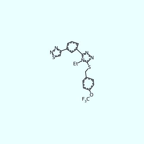 CCn1c(SCc2ccc(OC(F)(F)F)cc2)nnc1-c1cccc(-c2csnn2)c1